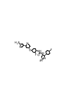 CC(C)n1cc(NC(=O)Nc2ccc(Oc3ccnc(-c4cnn(C)c4)c3)cc2F)c(-c2ccc(F)cc2)n1